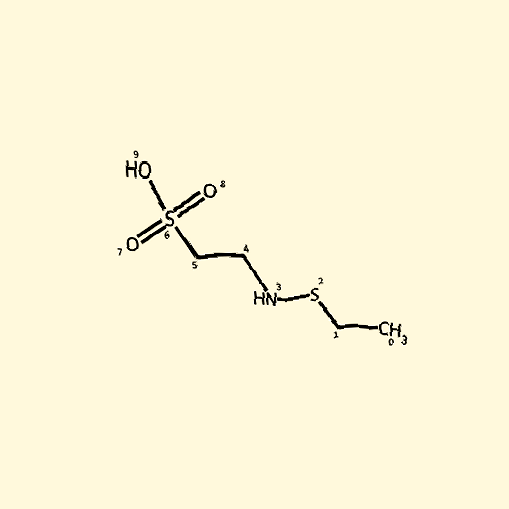 CCSNCCS(=O)(=O)O